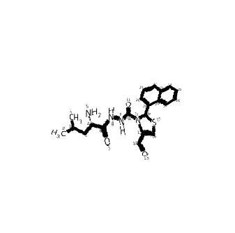 CC(C)C[C@H](N)C(=O)NNC(=O)N1C([C]=O)=CSC1c1cccc2ccccc12